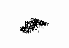 Cc1c(CC(C)(C)CCNC(=O)c2ccccc2O)c(C)c2c(c1C(C)O)OC[C@@H]2c1ccc(C(C)C)cc1